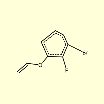 C=COc1cccc(Br)c1F